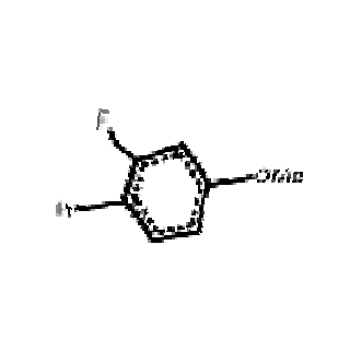 COc1ccc([C](C)C)c(F)c1